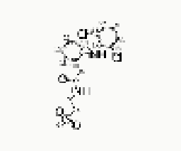 CS(=O)(=O)CCNC(=O)Cc1ccccc1Nc1c(Cl)cccc1Cl